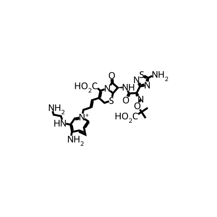 CC(C)(O/N=C(\C(=O)N[C@@H]1C(=O)N2C(C(=O)O)=C(/C=C/C[N+]3=C/C(NCCN)=C(N)\C=C\C=C\3)CSC12)c1nsc(N)n1)C(=O)O